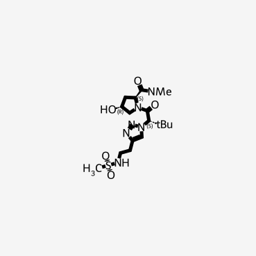 CNC(=O)[C@@H]1C[C@@H](O)CN1C(=O)[C@@H](n1cc(CCNS(C)(=O)=O)nn1)C(C)(C)C